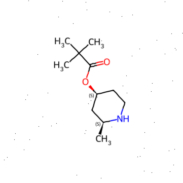 C[C@H]1C[C@@H](OC(=O)C(C)(C)C)CCN1